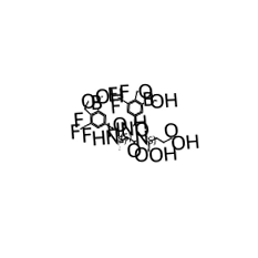 C[C@H](NC(=O)c1cc2c(c(C(F)(F)F)c1)COB2O)[C@H](NC(=O)c1cc2c(c(C(F)(F)F)c1)COB2O)C(=O)N[C@@H](CCC(=O)O)C(=O)O